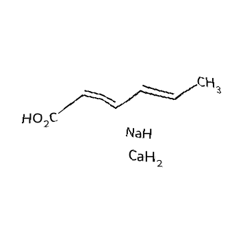 CC=CC=CC(=O)O.[CaH2].[NaH]